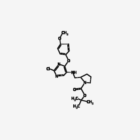 COc1ccc(Oc2nc(Cl)ncc2NCC2CCCN2C(=O)OC(C)(C)C)cc1